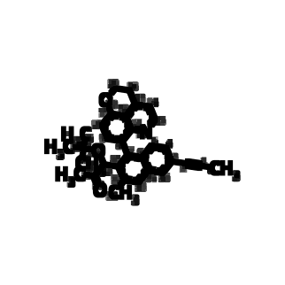 CC#Cc1ccc2c(-c3ccc4c5c(ccnc35)CCO4)c(C(OC(C)(C)C)C(C)=O)c(C)cc2c1